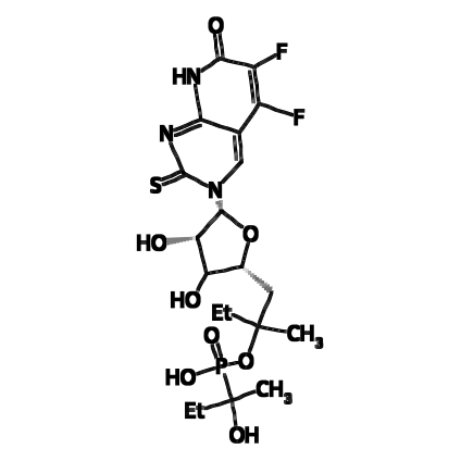 CCC(C)(C[C@H]1O[C@@H](n2cc3c(F)c(F)c(=O)[nH]c3nc2=S)[C@@H](O)C1O)OP(=O)(O)C(C)(O)CC